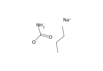 CCCC.NC(=O)[O-].[Na+]